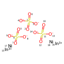 O=S(=O)([O-])[O-].O=S(=O)([O-])[O-].O=S(=O)([O-])[O-].[In+3].[In+3].[Ni].[Ni]